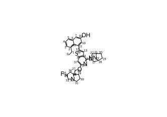 CCc1cccc2cc(O)cc(-c3cc4c(N5CC6CCC(C5)N6)nc(OC[C@@]56CCCN5C[C@H](F)C6)cc4s3)c12